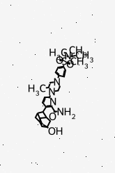 CC1CN(c2ccc(S(=O)(=O)N(C)C(C)(C)C)cc2)CCN1c1ccc(C2C3CC4CC2CC(O)(C4)C3)c(C(N)=O)n1